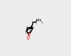 [SiH3]CCC1CC2CC1C1OC21